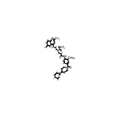 COc1cc(C(=O)N2CCC(N3CCCCC3)CC2)ccc1NC(=O)CCN(CCNc1cc(C)nc2ccc(I)cc12)S(C)(=O)=O